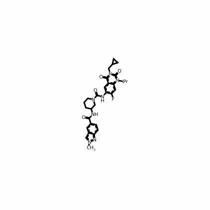 CC(C)n1c(=O)n(CC2CC2)c(=O)c2cc(NC(=O)N3CCCC(NC(=O)c4ccc5nn(C)cc5c4)C3)c(F)cc21